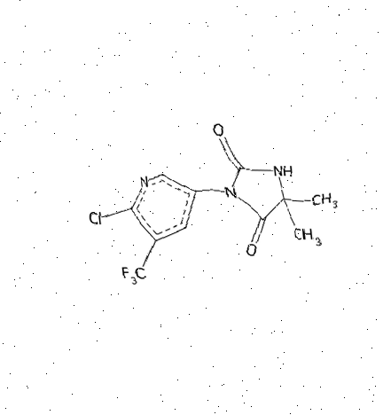 CC1(C)NC(=O)N(c2cnc(Cl)c(C(F)(F)F)c2)C1=O